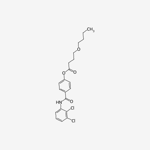 CCCCOCCCC(=O)Oc1ccc(C(=O)Nc2cccc(Cl)c2Cl)cc1